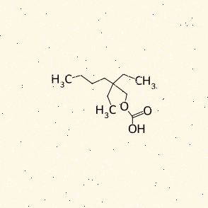 CCCCC(CC)(CC)COC(=O)O